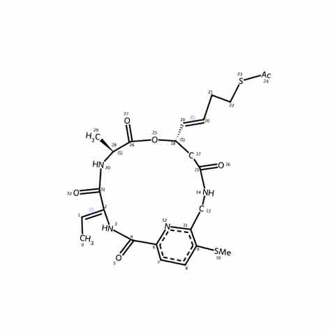 C/C=C1\NC(=O)c2ccc(SC)c(n2)CNC(=O)C[C@@H](/C=C/CCSC(C)=O)OC(=O)[C@H](C)NC1=O